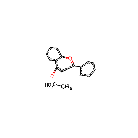 CC(=O)O.O=c1cc(-c2ccccc2)oc2ccccc12